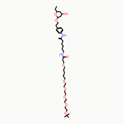 C=C(CCCCCNC(=O)CCOCCCCCOCCOCCOCCOCCOC(C)(C)C)Nc1ccc(CCOC2CC(O)CC(CC)O2)cc1